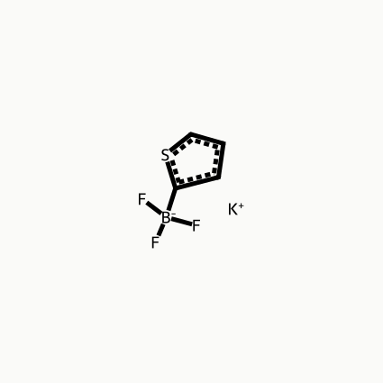 F[B-](F)(F)c1cccs1.[K+]